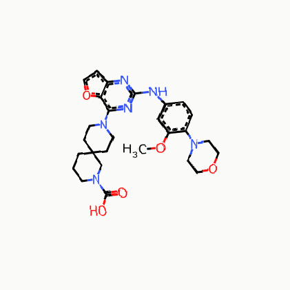 COc1cc(Nc2nc(N3CCC4(CCCN(C(=O)O)C4)CC3)c3occc3n2)ccc1N1CCOCC1